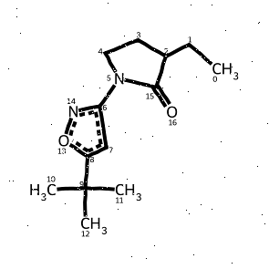 CCC1CCN(c2cc(C(C)(C)C)on2)C1=O